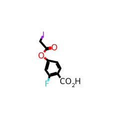 O=C(CI)Oc1ccc(C(=O)O)c(F)c1